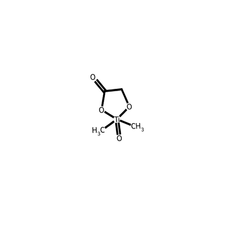 [CH3][Ti]1([CH3])(=[O])[O]CC(=O)[O]1